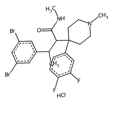 CNC(=O)C(C(C)c1cc(Br)cc(Br)c1)C1(c2ccc(F)c(F)c2)CCN(C)CC1.Cl